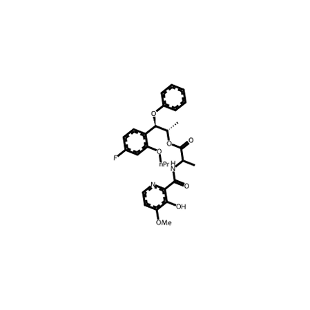 CCCOc1cc(F)ccc1[C@@H](Oc1ccccc1)[C@H](C)OC(=O)C(C)NC(=O)c1nccc(OC)c1O